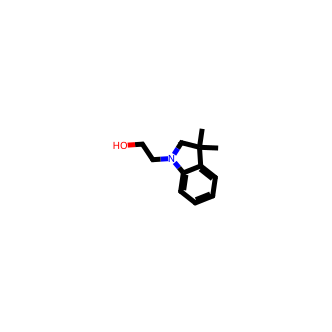 CC1(C)[CH]N(CCO)c2ccccc21